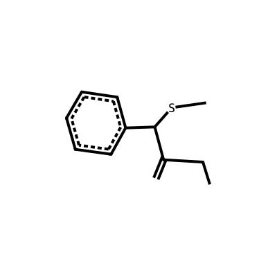 C=C(CC)C(SC)c1ccccc1